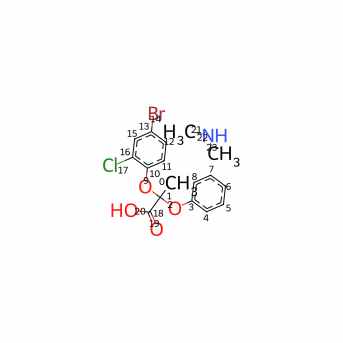 CC(Oc1ccccc1)(Oc1ccc(Br)cc1Cl)C(=O)O.CNC